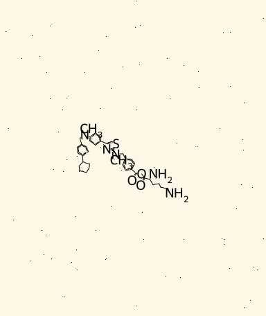 CN(Cc1ccc(C2CCCCC2)cc1)c1ccc(-c2csc(N(C)Cc3ccc(C(=O)OC(=O)[C@@H](N)CCCCN)cc3)n2)cc1